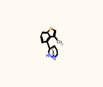 Cc1csc2cccc(C3CNN4CCC3CC4)c12